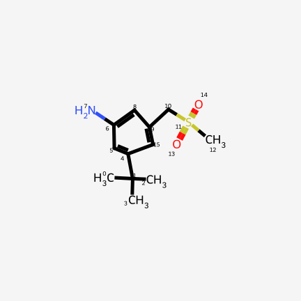 CC(C)(C)c1cc(N)cc(CS(C)(=O)=O)c1